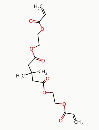 C=CC(=O)OCCOC(=O)CC(C)(C)CC(=O)OCCOC(=O)C=C